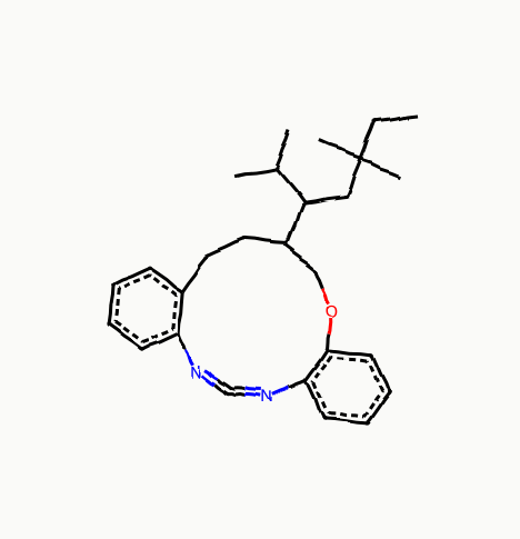 CCC(C)(C)CC(C(C)C)C1CCc2ccccc2N=C=Nc2ccccc2OC1